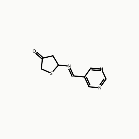 O=C1CSC(N=Cc2cncnc2)C1